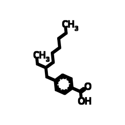 CCCCCCC(CC)Cc1ccc(C(=O)O)cc1